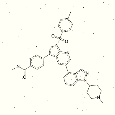 Cc1ccc(S(=O)(=O)n2cc(-c3ccc(C(=O)N(C)C)cc3)c3cc(-c4cccc5c4cnn5C4CCN(C)CC4)cnc32)cc1